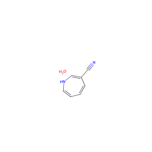 N#CC1=CNC=CC=C1.O